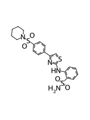 NS(=O)(=O)c1ccccc1Nc1nc(-c2ccc(S(=O)(=O)N3CCCCC3)cc2)cs1